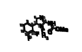 COC(=O)NC1=NCC(c2cccc(F)c2F)N1C